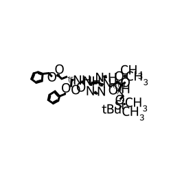 CC1(C)O[C@@H]2[C@H](O1)[C@@H](CO[Si](C)(C)C(C)(C)C)O[C@H]2n1cnc2c(NC(=O)N[C@@H](CCC(=O)OCc3ccccc3)C(=O)OCc3ccccc3)ncnc21